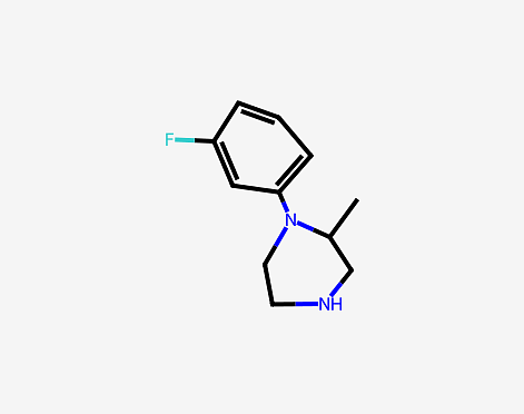 CC1CNCCN1c1cccc(F)c1